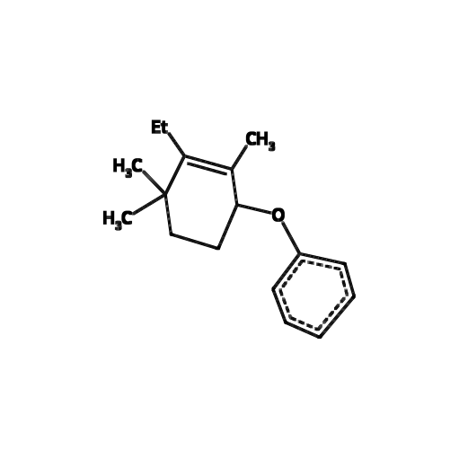 CCC1=C(C)C(Oc2ccccc2)CCC1(C)C